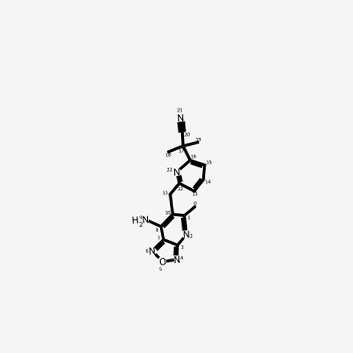 Cc1nc2nonc2c(N)c1Cc1cccc(C(C)(C)C#N)n1